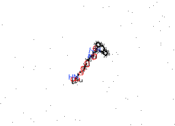 CC(C)(C)OC(=O)NCCOCCOCCOCCNC(=O)CCC(=O)N1Cc2ccccc2/C=C\c2ccccc21